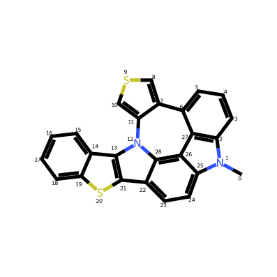 Cn1c2cccc3c4cscc4n4c5c6ccccc6sc5c5ccc1c(c32)c54